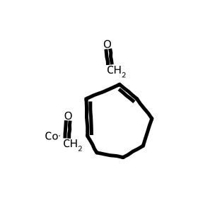 C1=C\CCCC\C=C/1.C=O.C=O.[Co]